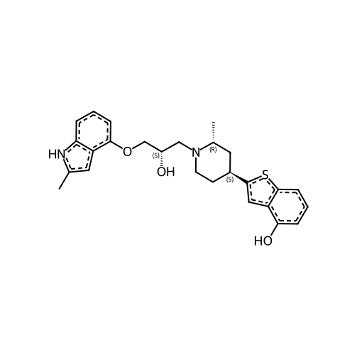 Cc1cc2c(OC[C@@H](O)CN3CC[C@H](c4cc5c(O)cccc5s4)C[C@H]3C)cccc2[nH]1